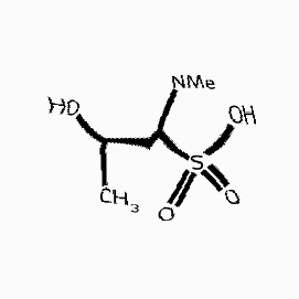 CNC(C(C)O)S(=O)(=O)O